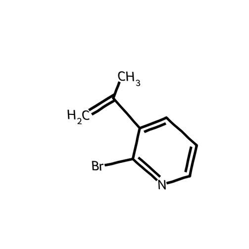 C=C(C)c1cccnc1Br